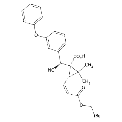 CC(C)(C)COC(=O)/C=C\[C@H]1C(C)(C)[C@]1(C(=O)O)[C@@H](C#N)c1cccc(Oc2ccccc2)c1